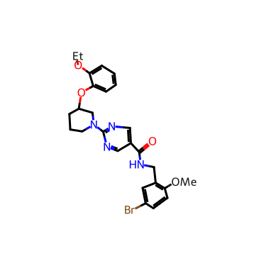 CCOc1ccccc1OC1CCCN(c2ncc(C(=O)NCc3cc(Br)ccc3OC)cn2)C1